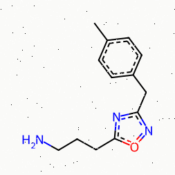 Cc1ccc(Cc2noc(CCCN)n2)cc1